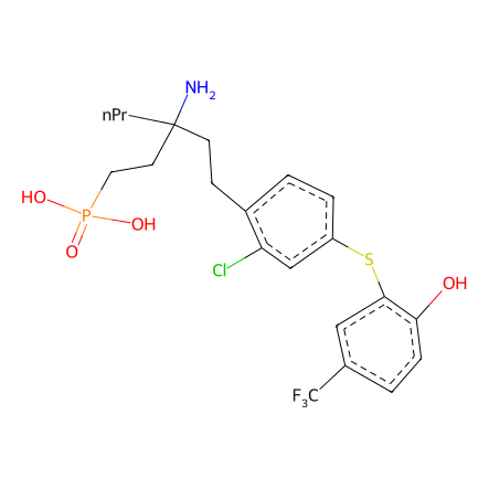 CCCC(N)(CCc1ccc(Sc2cc(C(F)(F)F)ccc2O)cc1Cl)CCP(=O)(O)O